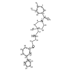 Cc1ccc(C(=O)N2CCC(F)(CNCCOc3cccc(-n4cccn4)n3)CC2)cc1C